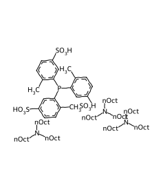 CCCCCCCCN(CCCCCCCC)CCCCCCCC.CCCCCCCCN(CCCCCCCC)CCCCCCCC.CCCCCCCCN(CCCCCCCC)CCCCCCCC.Cc1ccc(S(=O)(=O)O)cc1P(c1cc(S(=O)(=O)O)ccc1C)c1cc(S(=O)(=O)O)ccc1C